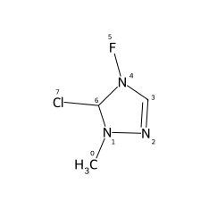 CN1N=CN(F)C1Cl